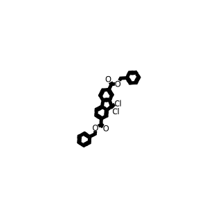 O=C(OCc1ccccc1)c1ccc2c(c1)C(Cl)(Cl)c1cc(C(=O)OCc3ccccc3)ccc1-2